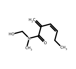 C=C(/C=C\CC)C(=O)N(C)CO